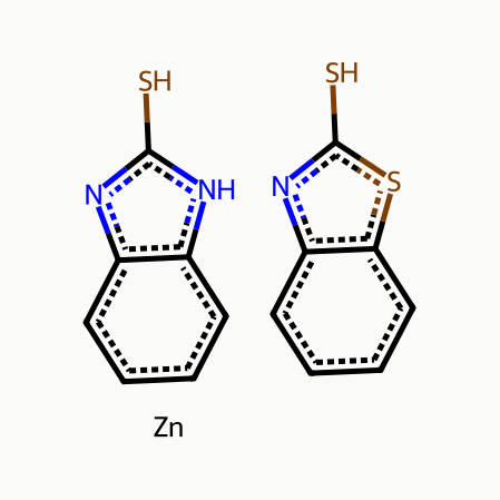 Sc1nc2ccccc2[nH]1.Sc1nc2ccccc2s1.[Zn]